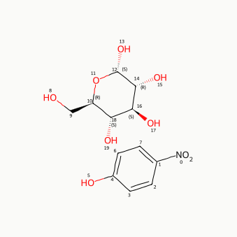 O=[N+]([O-])c1ccc(O)cc1.OC[C@H]1O[C@H](O)[C@H](O)[C@@H](O)[C@@H]1O